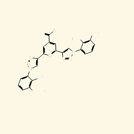 NC(=O)c1cc(-c2cn(-c3cccc(C(=O)O)c3C(F)(F)F)nn2)nc(-c2cn(-c3cccc(C(=O)O)c3C(F)(F)F)nn2)c1